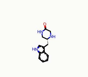 O=C1CN[C@H](Cc2c[nH]c3ccccc23)CN1